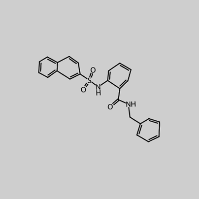 O=C(NCc1ccccc1)c1ccccc1NS(=O)(=O)c1ccc2ccccc2c1